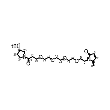 C=C1C=CC(=O)N1CCOCCOCCOCCOCCC(=O)N1CC[C@H](C(C)(C)C)C1